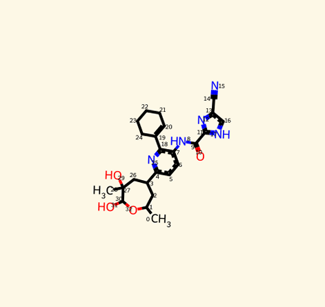 CC1CC(c2ccc(NC(=O)c3nc(C#N)c[nH]3)c(C3=CCCCC3)n2)CC(C)(O)C(O)O1